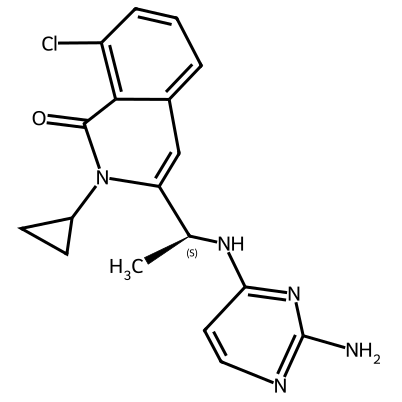 C[C@H](Nc1ccnc(N)n1)c1cc2cccc(Cl)c2c(=O)n1C1CC1